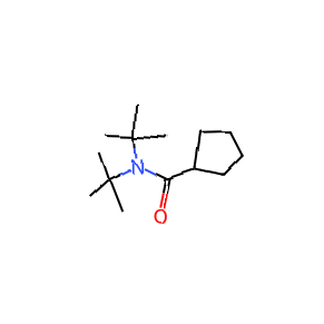 CC(C)(C)N(C(=O)C1CCCC1)C(C)(C)C